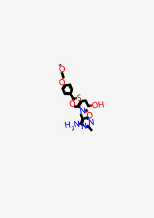 COCCOc1ccc(C(=O)SC(CCO)=C(C)N(C=O)Cc2cnc(C)nc2N)cc1